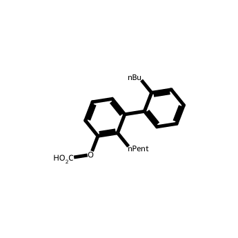 CCCCCc1c(OC(=O)O)cccc1-c1ccccc1CCCC